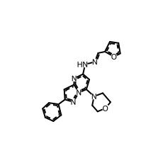 C(=N\Nc1cc(N2CCOCC2)n2nc(-c3ccccc3)cc2n1)/c1ccco1